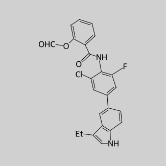 CCc1c[nH]c2ccc(-c3cc(F)c(NC(=O)c4ccccc4OC=O)c(Cl)c3)cc12